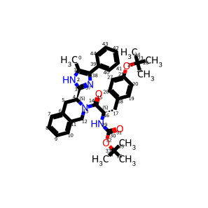 Cc1[nH]c([C@@H]2Cc3ccccc3CN2C(=O)[C@H](Cc2ccc(OC(C)(C)C)cc2)NC(=O)OC(C)(C)C)nc1-c1ccccc1